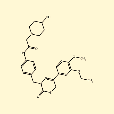 CCOc1cc(C2=NN(Cc3ccc(NC(=O)CN4CCC(O)CC4)cc3)C(=O)SC2)ccc1OC